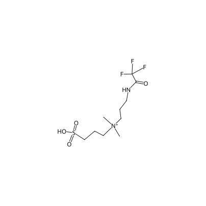 C[N+](C)(CCCNC(=O)C(F)(F)F)CCCS(=O)(=O)O